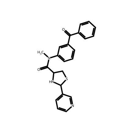 CN(C(=O)C1CSC(c2cccnc2)N1)c1cccc(C(=O)c2ccccc2)c1